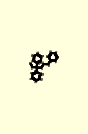 [CH2]CC(CCCc1ccccc1)(c1ccccc1)c1ccccn1